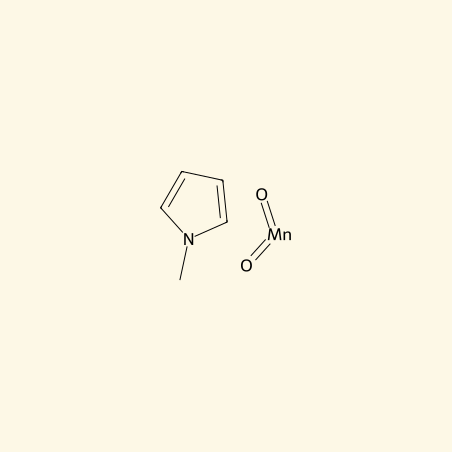 Cn1cccc1.[O]=[Mn]=[O]